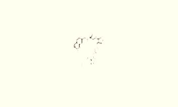 COC(=O)CSCCCS[C@H]1C(=O)CC[C@H]1C=CC(O)CCc1ccc2ccccc2c1